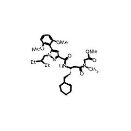 CCC(CC)Cn1nc(C(=O)N[C@@H](CCC2CCCCC2)CC(=O)N(C)CC(=O)OC)cc1-c1c(OC)cccc1OC